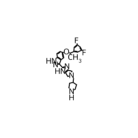 CC(Oc1ccc2[nH]nc(-c3nc4c([nH]3)CN(CC3CCNCC3)C4)c2c1)c1cc(F)cc(F)c1